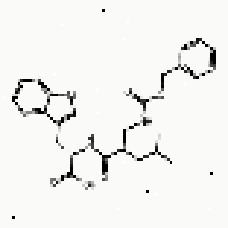 CC(C)CC(CNC(=O)OCc1ccccc1)C(=O)N[C@@H](Cc1c[nH]c2ccccc12)C(=O)O